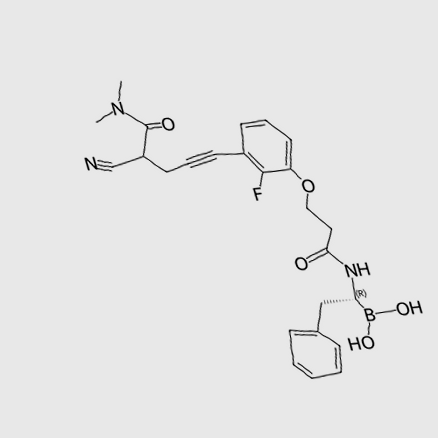 CN(C)C(=O)C(C#N)CC#Cc1cccc(OCCC(=O)N[C@@H](Cc2ccccc2)B(O)O)c1F